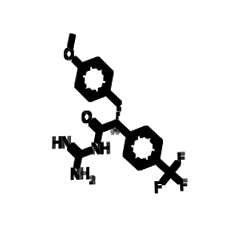 COc1ccc(C[C@@H](C(=O)NC(=N)N)c2ccc(C(F)(F)F)cc2)cc1